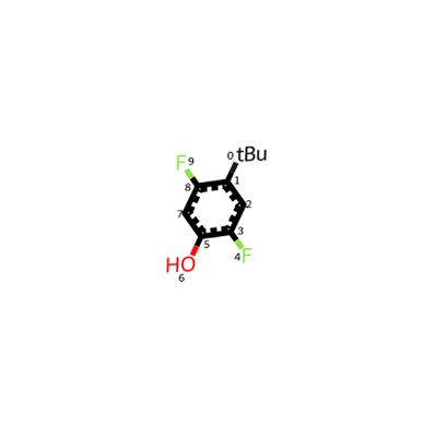 CC(C)(C)c1cc(F)c(O)cc1F